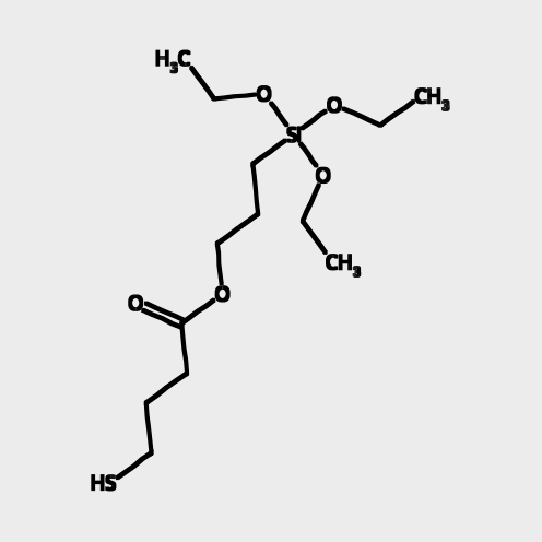 CCO[Si](CCCOC(=O)CCCS)(OCC)OCC